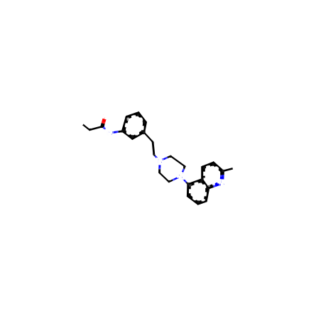 CCC(=O)Nc1cccc(CCN2CCN(c3cccc4nc(C)ccc34)CC2)c1